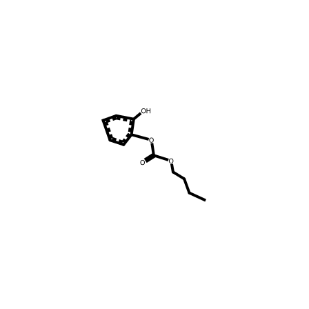 CCCCOC(=O)Oc1ccccc1O